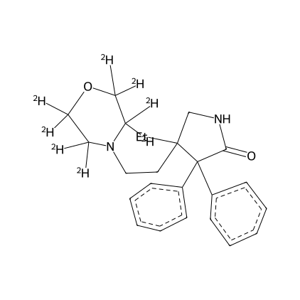 [2H]C1([2H])OC([2H])([2H])C([2H])([2H])N(CCC2(CC)CNC(=O)C2(c2ccccc2)c2ccccc2)C1([2H])[2H]